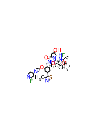 Cc1ncsc1-c1ccc(CNC(=O)[C@@H]2C[C@@H](O)CN2C(=O)[C@@H](NC(=O)C2(F)CC2)C(C)(C)C)c(OC2CN(c3ccnc(F)c3)C2)c1